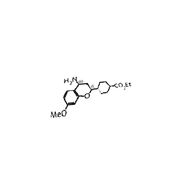 CCOC(=O)[C@H]1CC[C@H]([C@@H]2C[C@H](N)c3ccc(OC)cc3O2)CC1